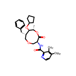 COc1ccnc(C(=O)N[C@H]2COC[C@H](Cc3ccccc3)[C@@H](OC3CCCC3)[C@H](C)OC2=O)c1OC(C)=O